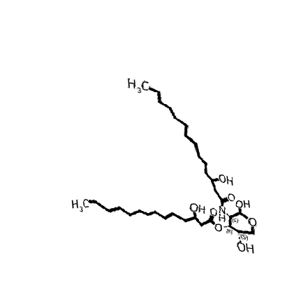 CCCCCCCCCCCC(O)CC(=O)N[C@@H]1C(O)OC[C@H](O)[C@@H]1OC(=O)CC(O)CCCCCCCCCCC